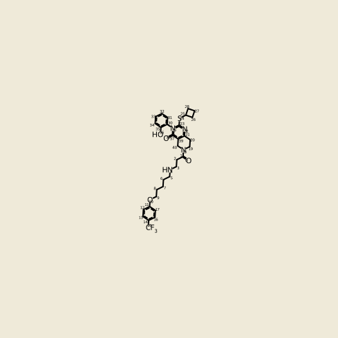 O=C(CCNCCCCCOc1ccc(C(F)(F)F)cc1)N1CCc2nc(SC3CCC3)n(-c3ccccc3O)c(=O)c2C1